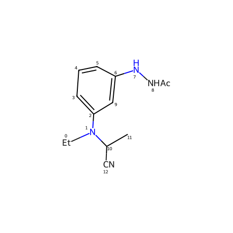 CCN(c1cccc(NNC(C)=O)c1)C(C)C#N